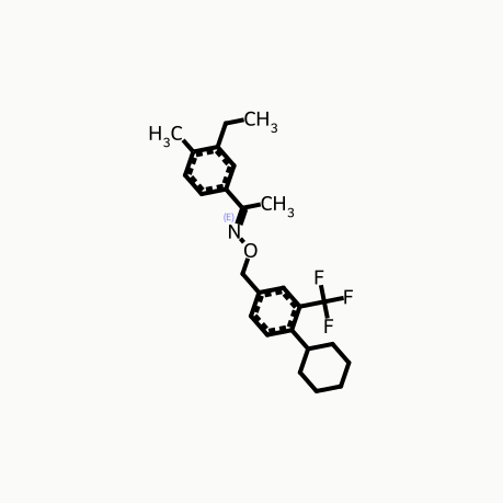 CCc1cc(/C(C)=N/OCc2ccc(C3CCCCC3)c(C(F)(F)F)c2)ccc1C